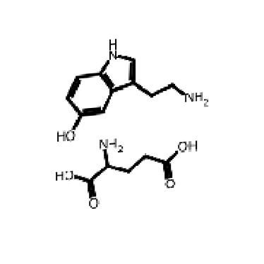 NC(CCC(=O)O)C(=O)O.NCCc1c[nH]c2ccc(O)cc12